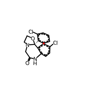 O=C1CN2CCO[C@@]2(c2ccccc2Cl)c2cc(Cl)ccc2N1